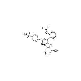 CC(C)(O)c1ccc(-c2cc(-c3ccccc3OC(F)F)c3nc4c(n3n2)COCC4O)cc1